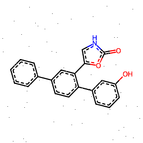 O=c1[nH]cc(-c2cc(-c3ccccc3)ccc2-c2cccc(O)c2)o1